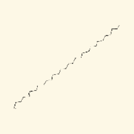 [CH2]CCCC=CCCCCCCCCCCCCCCCCCCCCCCCC